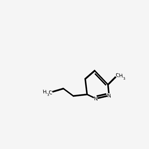 CCCC1CC=C(C)N=N1